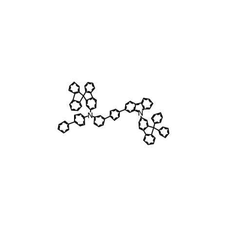 c1ccc(-c2ccc(N(c3cccc(-c4ccc(-c5ccc6c7ccccc7n(-c7ccc8c(c7)C(c7ccccc7)(c7ccccc7)c7ccccc7-8)c6c5)cc4)c3)c3ccc4c(c3)C3(c5ccccc5-c5ccccc53)c3ccccc3-4)cc2)cc1